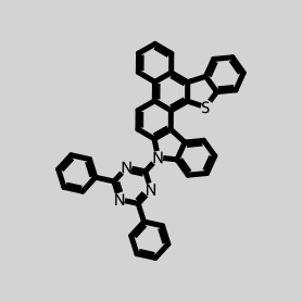 c1ccc(-c2nc(-c3ccccc3)nc(-n3c4ccccc4c4c5c(ccc43)c3ccccc3c3c4ccccc4sc35)n2)cc1